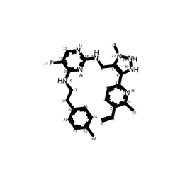 C=Cc1ccc(C2=C(CNc3ncc(F)c(NCCc4ccc(C)cc4)n3)N(C)NN2)nc1C